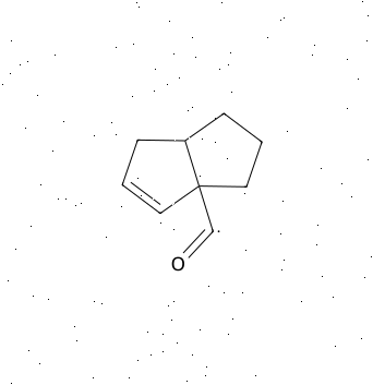 O=[C]C12C=CCC1CCC2